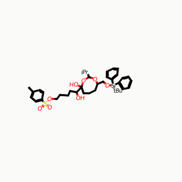 Cc1ccc(S(=O)(=O)OCCCCC(O)C2(O)CCCC(CO[Si](c3ccccc3)(c3ccccc3)C(C)(C)C)OC(C(C)C)O2)cc1